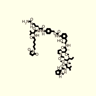 CC[C@H](C)[C@@H]([C@@H](CC(=O)N1CCC[C@H]1[C@H](OC)[C@@H](C)C(=O)N[C@H](CO)Cc1cccc(NC(=O)OCc2ccc(NC(=O)[C@H](CCCNC(N)=O)NC(=O)[C@@H](NC(=O)CCCCCN3C(=O)C=CC3=O)C(C)C)cc2)c1)OC)N(C)C(=O)[C@@H](NC(=O)[C@@H]1[C@H]2CC[C@H](C2)N1C)C(C)C